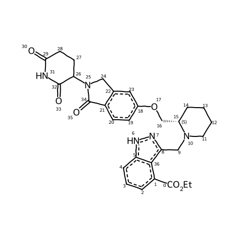 CCOC(=O)c1cccc2[nH]nc(CN3CCCC[C@H]3COc3ccc4c(c3)CN(C3CCC(=O)NC3=O)C4=O)c12